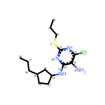 CCCSc1nc(Cl)c(N)c(NC2CCC(CCC)C2)n1